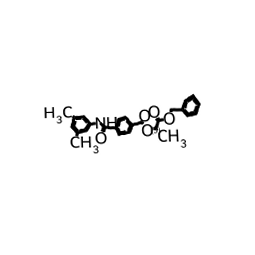 Cc1cc(C)cc(NC(=O)c2ccc(C(=O)O[C@@H](C)C(=O)OCc3ccccc3)cc2)c1